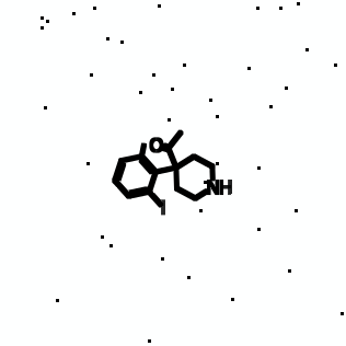 CC(=O)C1(c2c(C)cccc2I)CCNCC1